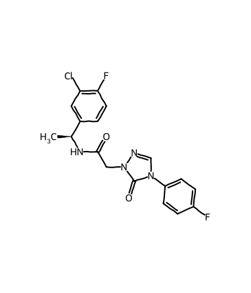 C[C@H](NC(=O)Cn1ncn(-c2ccc(F)cc2)c1=O)c1ccc(F)c(Cl)c1